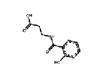 O=C(O)CCNC(=O)c1nccnc1O